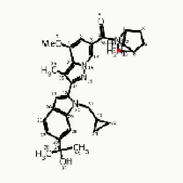 COc1cc(C(=O)N2CC3CCC2[C@@H]3N)cn2nc(-c3cc4ccc(C(C)(C)O)cc4n3CC3CC3)c(C)c12